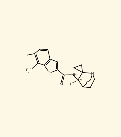 Cc1ccc2cc(C(=O)N[C@@H]3C4CCN(CC4)C34CC4)sc2c1C(F)(F)F